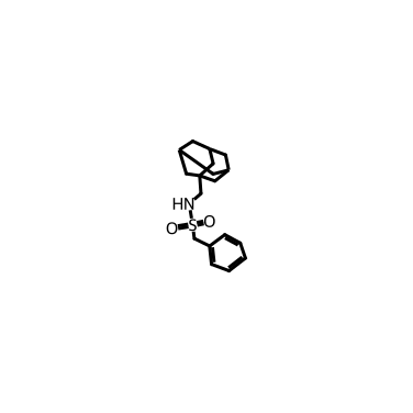 O=S(=O)(Cc1ccccc1)NCC12CC3CC(CC(C3)C1)C2